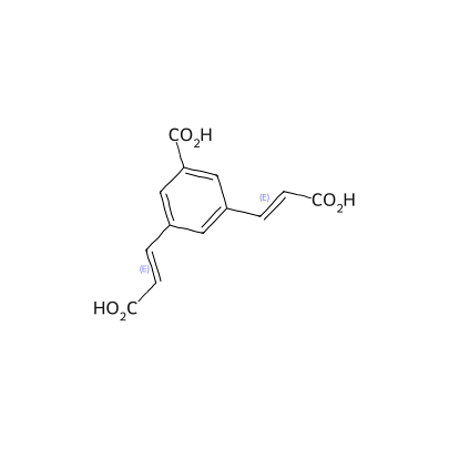 O=C(O)/C=C/c1cc(/C=C/C(=O)O)cc(C(=O)O)c1